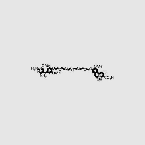 COc1cc2c(cc1OCCOCCOCCOCCOCCOCCOc1c(OC)cc(Cc3cnc(N)nc3N)cc1OC)C[C@@H](C(C)(C)C)n1cc(C(=O)O)c(=O)cc1-2